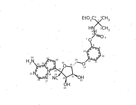 CCOC(=O)C(C)(C)N[PH](=O)Oc1cccc(OC[C@H]2O[C@@](C#N)(c3ccc4c(N)ncnn34)[C@H](O)[C@@H]2O)c1